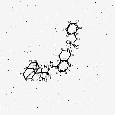 CC(C)(C(=O)Nc1ncnc2c1CCN(S(=O)(=O)Cc1ccccc1)C2)C12CC3CC(CC(C3)C1)C2